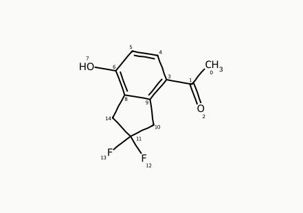 CC(=O)c1ccc(O)c2c1CC(F)(F)C2